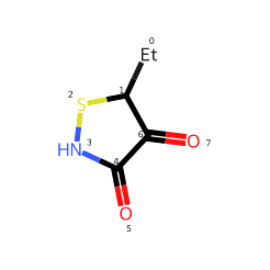 CCC1SNC(=O)C1=O